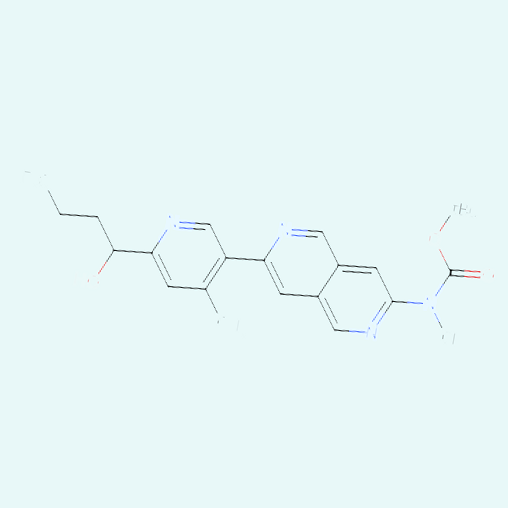 Cc1cc(C(O)CCC(F)(F)F)ncc1-c1cc2cnc(N(C)C(=O)OC(C)(C)C)cc2cn1